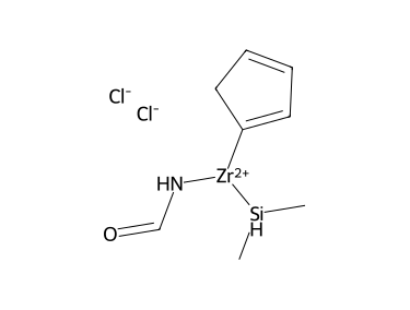 C[SiH](C)[Zr+2]([NH]C=O)[C]1=CC=CC1.[Cl-].[Cl-]